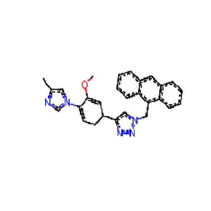 COC1=CC(c2cn(Cc3c4ccccc4cc4ccccc34)nn2)CC=C1n1cnc(C)c1